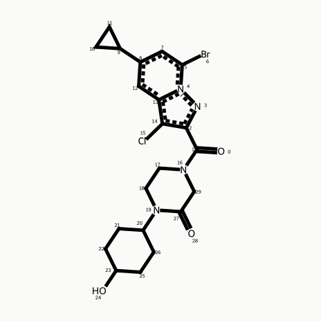 O=C(c1nn2c(Br)cc(C3CC3)cc2c1Cl)N1CCN(C2CCC(O)CC2)C(=O)C1